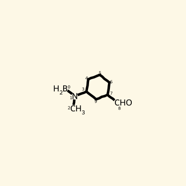 BN(C)C1CCCC(C=O)C1